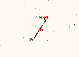 CCCCCC[C@@H](O)C/C=C\CCCCCCCC(=O)OCCCCCCCCCC(C)C